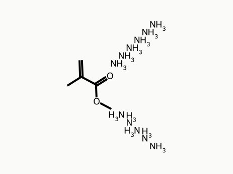 C=C(C)C(=O)OC.N.N.N.N.N.N.N.N.N.N.N